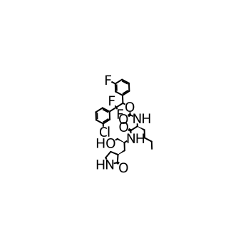 CCCC[C@H](NC(=O)OC(c1cccc(F)c1)C(F)(F)c1cccc(Cl)c1)C(=O)N[C@H](CO)C[C@@H]1CCNC1=O